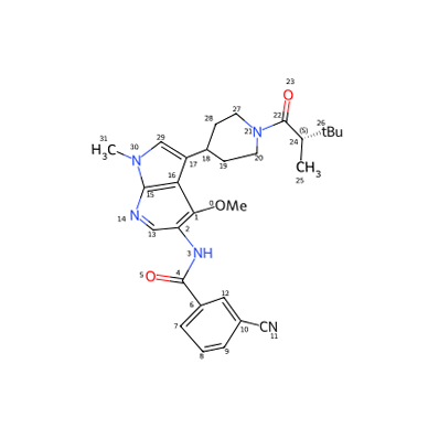 COc1c(NC(=O)c2cccc(C#N)c2)cnc2c1c(C1CCN(C(=O)[C@@H](C)C(C)(C)C)CC1)cn2C